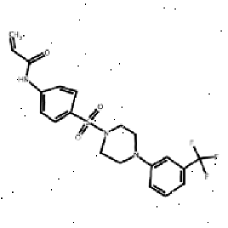 C=CC(=O)Nc1ccc(S(=O)(=O)N2CCN(c3cccc(C(F)(F)F)c3)CC2)cc1